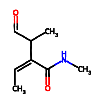 CC=C(C(=O)NC)C(C)C=O